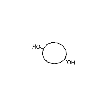 O[C@@H]1CCCCCC[C@H](O)CCCCC1